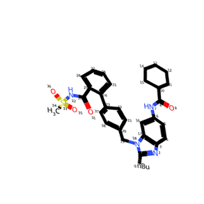 CCCCc1nc2ccc(NC(=O)C3CCCCC3)cc2n1Cc1ccc(-c2ccccc2C(=O)NS(C)(=O)=O)cc1